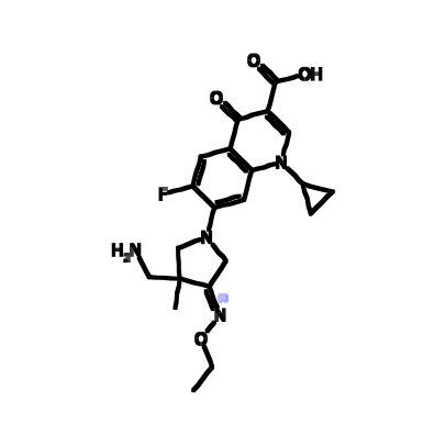 CCO/N=C1/CN(c2cc3c(cc2F)c(=O)c(C(=O)O)cn3C2CC2)CC1(C)CN